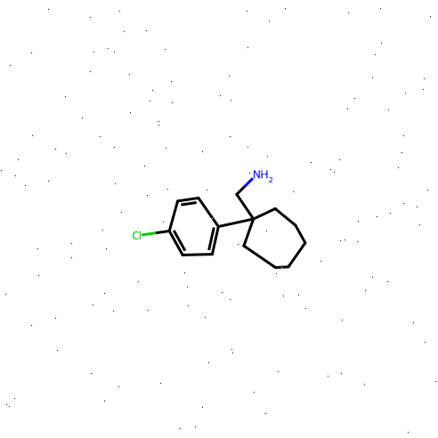 NCC1(c2ccc(Cl)cc2)CCCCCC1